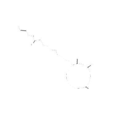 C/C=C/CNC(=N)NCCCCCCCCN1CCCCCCOC(=O)CCNC(=N)NC1=O